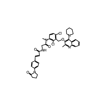 Cc1nc2ccccc2c(N2CCCCC2)c1OCc1c(Cl)ccc(N(C)C(=O)CNC(=O)C=Cc2ccc(N3CCCC3=O)cc2)c1Cl